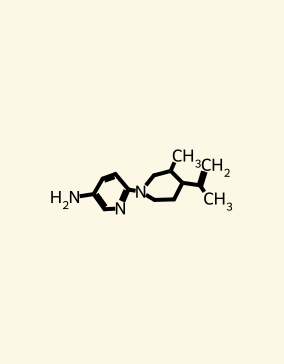 C=C(C)C1CCN(c2ccc(N)cn2)CC1C